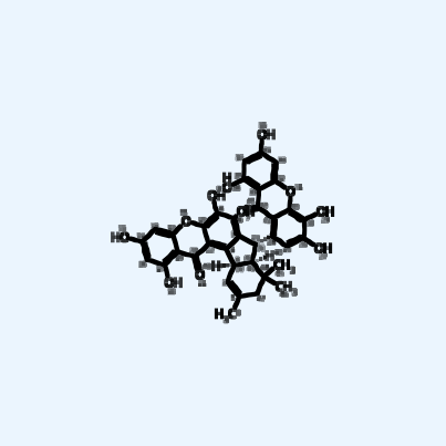 CC1=C[C@H]2c3c(c(O)c(O)c4oc5cc(O)cc(O)c5c(=O)c34)[C@H](c3cc(O)c(O)c4oc5cc(O)cc(O)c5c(=O)c34)[C@H]2C(C)(C)C1